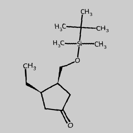 CC[C@@H]1CC(=O)C[C@@H]1CO[Si](C)(C)C(C)(C)C